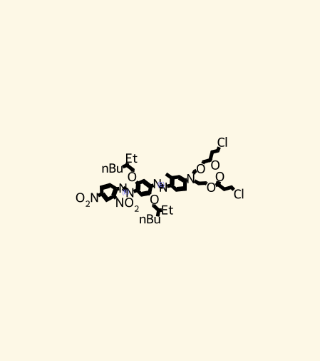 CCCCC(CC)COc1cc(/N=N/c2ccc([N+](=O)[O-])cc2[N+](=O)[O-])c(OCC(CC)CCCC)cc1/N=N/c1ccc(N(CCOC(=O)CCCl)COCC(=O)CCCl)cc1C